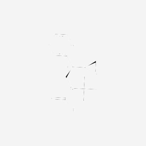 CC(C)(C)N(C[C@@H](c1ccccc1)[C@H]1CO1)C(=O)O